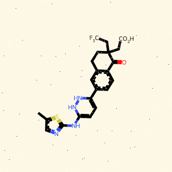 Cc1cnc(NC2=CC=C(c3ccc4c(c3)CCC(CC(=O)O)(CC(F)(F)F)C4=O)NN2)s1